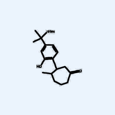 CCCCCCC(C)(C)c1ccc(C2CC(=O)CCCC2C)c(O)c1